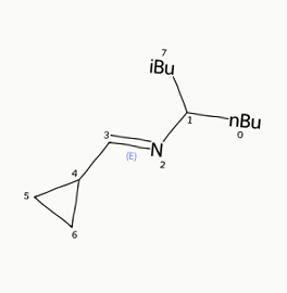 CCCCC(/N=C/C1CC1)C(C)CC